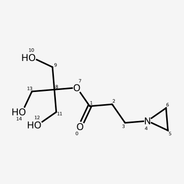 O=C(CCN1CC1)OC(CO)(CO)CO